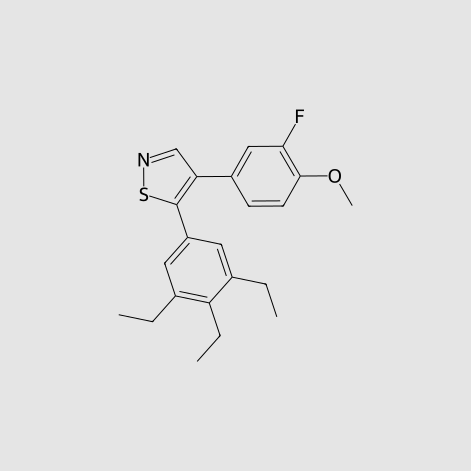 CCc1cc(-c2sncc2-c2ccc(OC)c(F)c2)cc(CC)c1CC